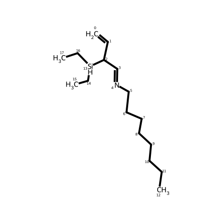 C=CC(C=NCCCCCCCC)[SiH](CC)CC